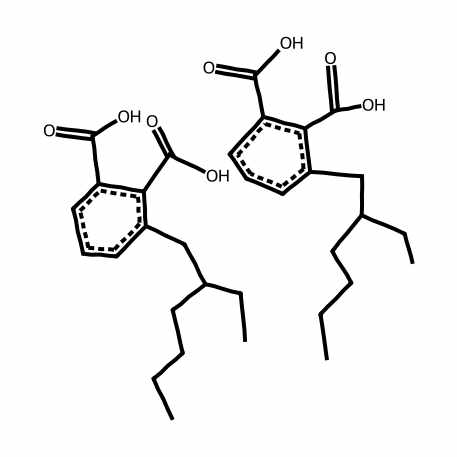 CCCCC(CC)Cc1cccc(C(=O)O)c1C(=O)O.CCCCC(CC)Cc1cccc(C(=O)O)c1C(=O)O